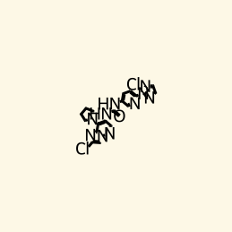 O=C(Nc1cnc(-n2nccn2)c(Cl)c1)Nc1cnn2cc(Cl)nc2c1N1CCCC1